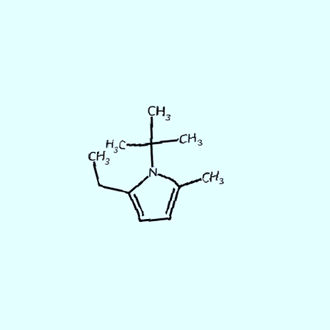 CCc1ccc(C)n1C(C)(C)C